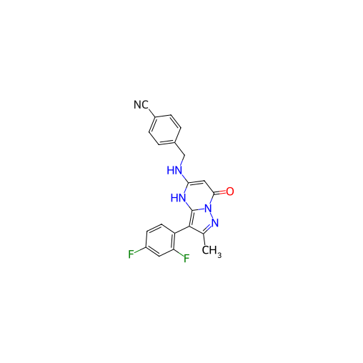 Cc1nn2c(=O)cc(NCc3ccc(C#N)cc3)[nH]c2c1-c1ccc(F)cc1F